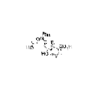 CCCCN(OCCO)OCCO.O=C(O)c1ccccc1F